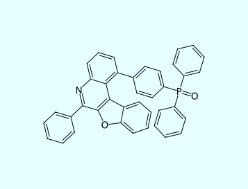 O=P(c1ccccc1)(c1ccccc1)c1ccc(-c2cccc3nc(-c4ccccc4)c4oc5ccccc5c4c23)cc1